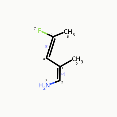 CC(=C/N)/C=C(\C)F